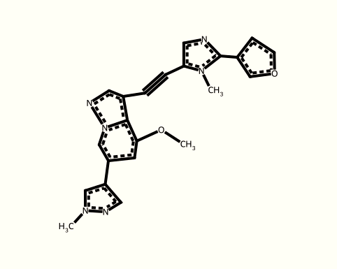 COc1cc(-c2cnn(C)c2)cn2ncc(C#Cc3cnc(-c4ccoc4)n3C)c12